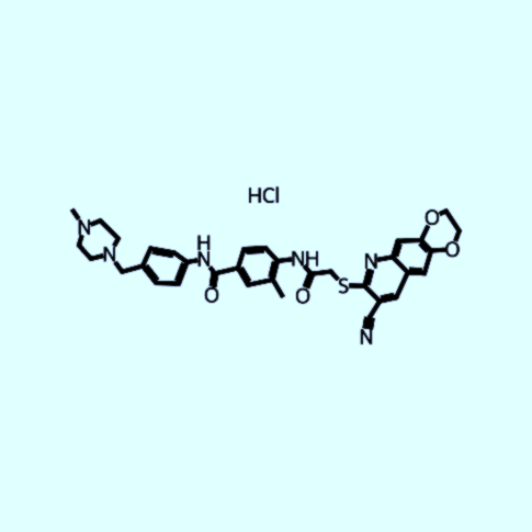 Cc1cc(C(=O)Nc2ccc(CN3CCN(C)CC3)cc2)ccc1NC(=O)CSc1nc2cc3c(cc2cc1C#N)OCCO3.Cl